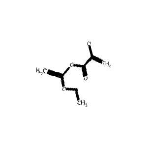 C=C(OCC)OC(=O)C(=C)Cl